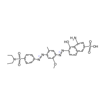 CCN(CC)S(=O)(=O)c1ccc(/N=N/c2cc(OC)c(/N=N/c3ccc4cc(S(=O)(=O)O)cc(N)c4c3O)cc2C)cc1